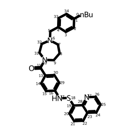 CCCCc1ccc(CN2CCCN(C(=O)c3ccc(NSc4cccc5cccnc45)cc3)CC2)cc1